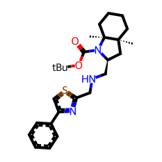 CC(C)(C)OC(=O)N1[C@H](CNCc2nc(-c3ccccc3)cs2)C[C@]2(C)CCCC[C@]12C